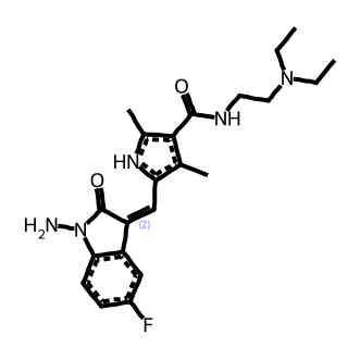 CCN(CC)CCNC(=O)c1c(C)[nH]c(/C=C2\C(=O)N(N)c3ccc(F)cc32)c1C